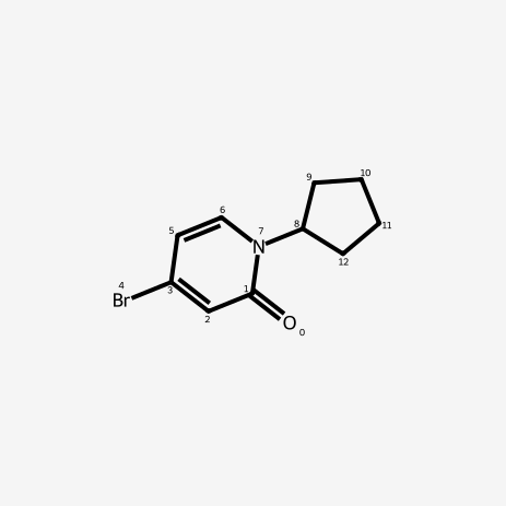 O=c1cc(Br)ccn1C1CCCC1